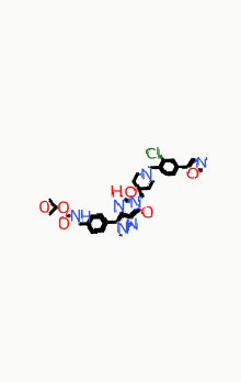 Cn1nc2c(=O)n(CC3(O)CCN(Cc4ccc(-c5cnco5)cc4Cl)CC3)cnc2c1-c1ccc(CNC(=O)OC2COC2)cc1